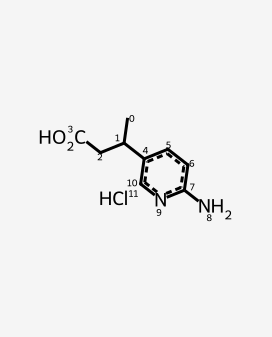 CC(CC(=O)O)c1ccc(N)nc1.Cl